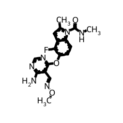 CNC(=O)n1c(C)cc2c(F)c(Oc3ncnc(N)c3/C=N/OC)ccc21